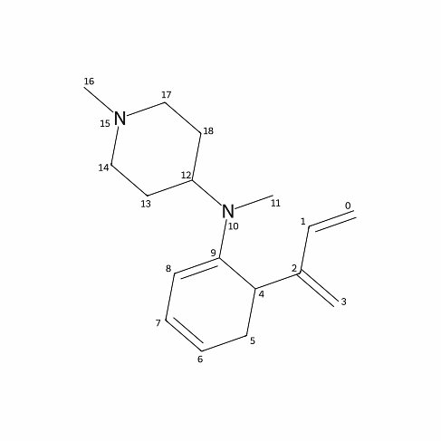 C=CC(=C)C1CC=CC=C1N(C)C1CCN(C)CC1